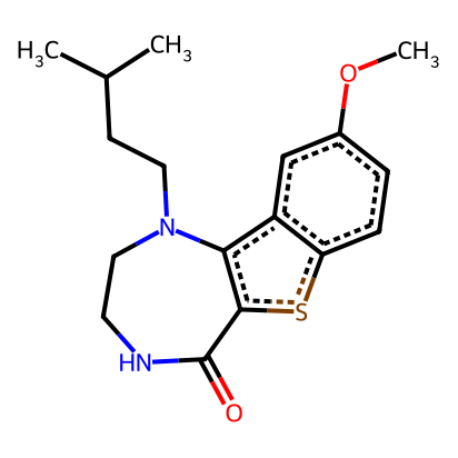 COc1ccc2sc3c(c2c1)N(CCC(C)C)CCNC3=O